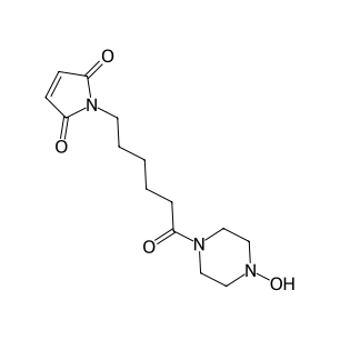 O=C(CCCCCN1C(=O)C=CC1=O)N1CCN(O)CC1